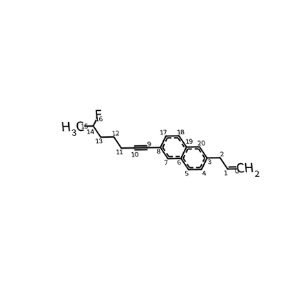 C=CCc1ccc2cc(C#CCCCC(C)F)ccc2c1